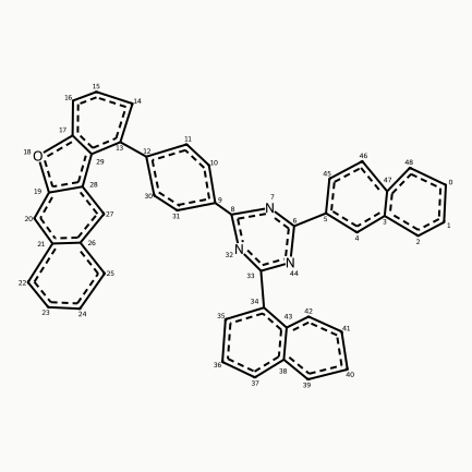 c1ccc2cc(-c3nc(-c4ccc(-c5cccc6oc7cc8ccccc8cc7c56)cc4)nc(-c4cccc5ccccc45)n3)ccc2c1